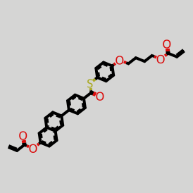 C=CC(=O)OCCCCOc1ccc(SC(=O)c2ccc(-c3ccc4cc(OC(=O)C=C)ccc4c3)cc2)cc1